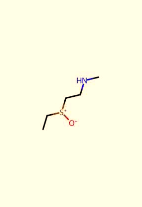 CC[S+]([O-])CCNC